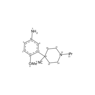 COc1ccc(N)cc1C1(C#N)CCN(C(C)C)CC1